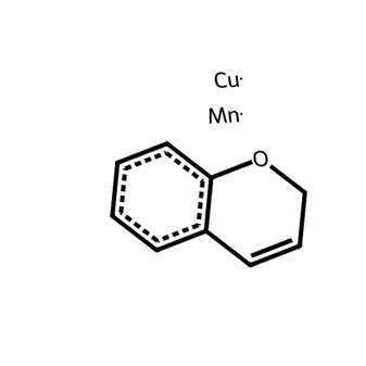 C1=Cc2ccccc2OC1.[Cu].[Mn]